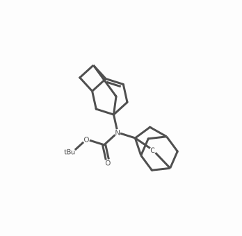 CC(C)(C)OC(=O)N(C12CC=C3C(CC3C1)C2)C12CC3CC(CC1C3)C2